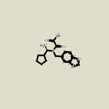 C[C@H](C1CCCC1)N(Cc1ccc2scnc2c1)C(=O)C(=O)O